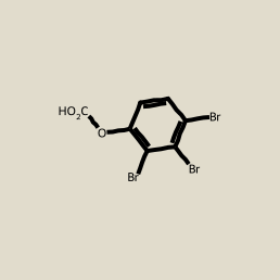 O=C(O)Oc1ccc(Br)c(Br)c1Br